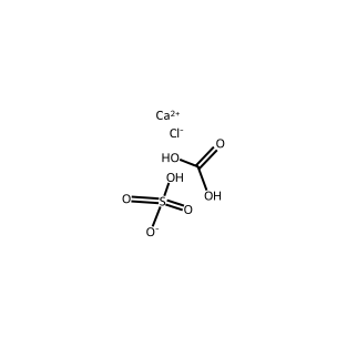 O=C(O)O.O=S(=O)([O-])O.[Ca+2].[Cl-]